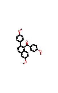 COc1ccc(C(=O)c2c(-c3ccc(OC)cc3)ccc3cc(OC)ccc23)cc1